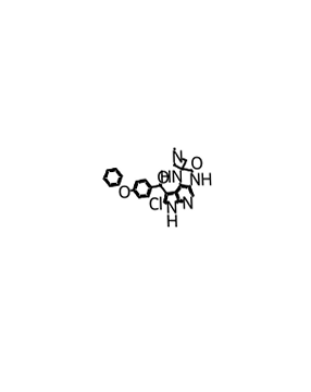 CN1CC2(C1)Nc1c(cnc3[nH]cc(C(=O)c4ccc(Oc5ccccc5)cc4Cl)c13)NC2=O